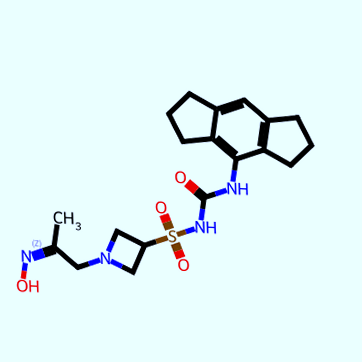 C/C(CN1CC(S(=O)(=O)NC(=O)Nc2c3c(cc4c2CCC4)CCC3)C1)=N/O